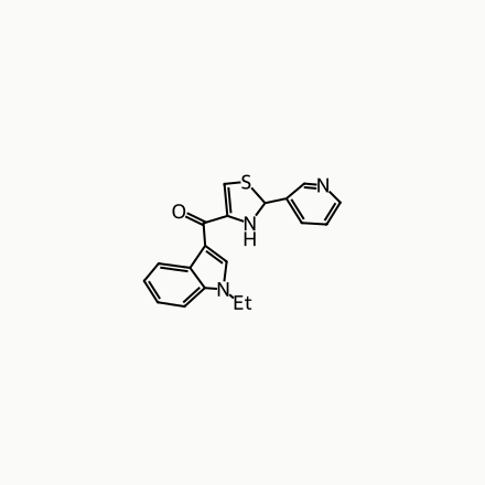 CCn1cc(C(=O)C2=CSC(c3cccnc3)N2)c2ccccc21